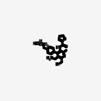 Cc1nc(CC(C)C)c(CN)c(-c2ccc(CN)cc2)c1NC(=O)c1ccco1.Cl.Cl